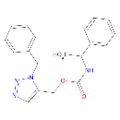 O=C(NC(C(=O)O)c1ccccc1)OCc1cnnn1Cc1ccccc1